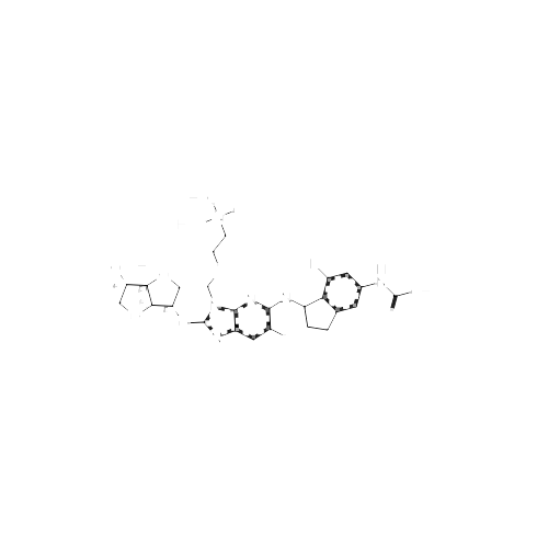 CC(=O)Nc1cc(F)c2c(c1)CCC2Nc1nc2c(cc1Cl)nc(O[C@@H]1CO[C@H]3[C@@H]1OC[C@H]3O)n2COCC[Si](C)(C)C